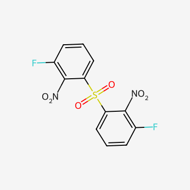 O=[N+]([O-])c1c(F)cccc1S(=O)(=O)c1cccc(F)c1[N+](=O)[O-]